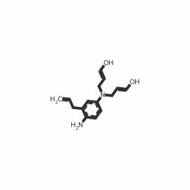 C=CCc1cc(N(CC=CO)CC=CO)ccc1N